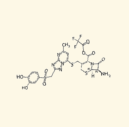 Cc1cc(SCC2=C(C(=O)OC(=O)C(F)(F)F)N3C(=O)[C@@H](N)[C@H]3SC2)n2nc(CS(=O)(=O)c3ccc(O)c(O)c3)nc2n1